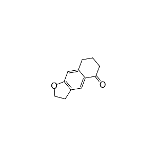 O=C1CCCc2cc3c(cc21)CCO3